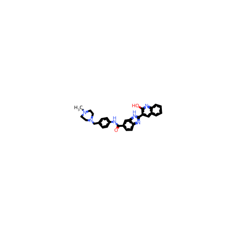 CN1CCN(Cc2ccc(NC(=O)c3ccc4nc(-c5cc6ccccc6nc5O)[nH]c4c3)cc2)CC1